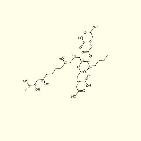 CCCC[C@@H](C)[C@@H](OC(=O)C[C@@H](CC(=O)O)C(=O)O)[C@H](C[C@@H](C)C[C@H](O)CCCC[C@@H](O)C[C@H](O)[C@H](C)N)OC(=O)C[C@@H](CC(=O)O)C(=O)O